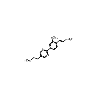 CCCCCCCCCCCCc1cnc(-c2ccc(/C=C/C(=O)O)c(CCCCCCCC)c2)nc1